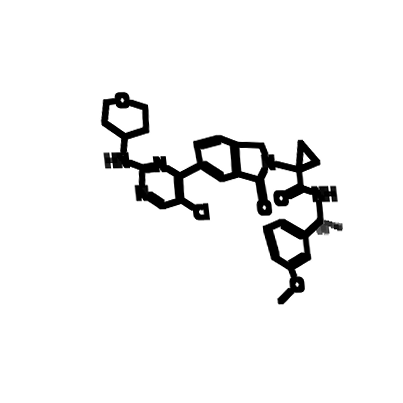 COc1cccc([C@@H](C)NC(=O)C2(N3Cc4ccc(-c5nc(NC6CCOCC6)ncc5Cl)cc4C3=O)CC2)c1